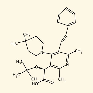 Cc1nc(C)c([C@H](OC(C)(C)C)C(=O)O)c(N2CCC(C)(C)CC2)c1/C=C/c1ccccc1